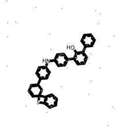 Oc1c(-c2ccccc2)cccc1-c1ccc(Nc2ccc(C3=CC=CC4(C3)Sc3ccccc34)cc2)cc1